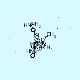 CCCCOC(=O)NC(C(=O)OC)[C@H](NC(=O)CC1CC(c2ccc(C(=N)N)cc2)=NO1)NC(=O)c1[nH]c2ccccc2c1F